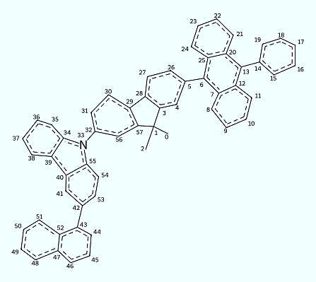 CC1(C)c2cc(-c3c4ccccc4c(-c4ccccc4)c4ccccc34)ccc2-c2ccc(-n3c4ccccc4c4cc(-c5cccc6ccccc56)ccc43)cc21